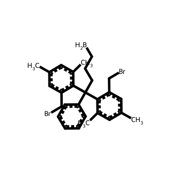 BCCCC(c1ccccc1)(c1c(C)cc(C)cc1CBr)c1c(C)cc(C)cc1CBr